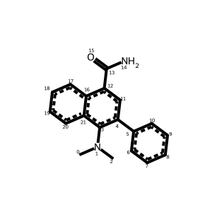 CN(C)c1c(-c2ccccc2)cc(C(N)=O)c2ccccc12